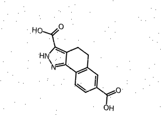 O=C(O)c1ccc2c(c1)CCc1c-2n[nH]c1C(=O)O